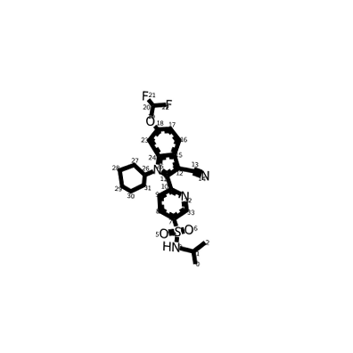 CC(C)NS(=O)(=O)c1ccc(-c2c(C#N)c3ccc(OC(F)F)cc3n2C2CCCCC2)nc1